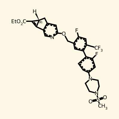 CCOC(=O)C1=C2c3cnc(OCc4cc(-c5ccc(N6CCN(S(C)(=O)=O)CC6)cc5F)c(C(F)(F)F)cc4F)cc3C[C@@H]12